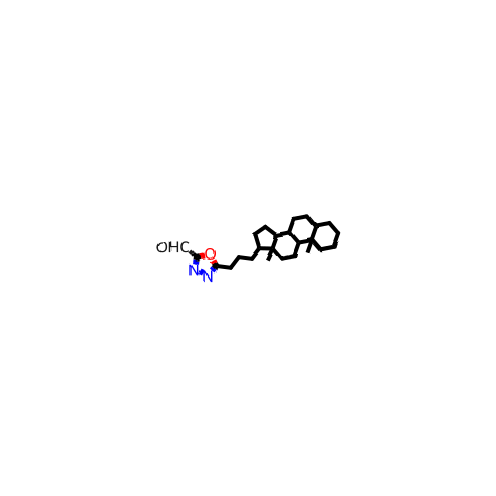 CC12CCCCC1CCC1C2CCC2(C)C(CCCc3nnc(C=O)o3)CCC12